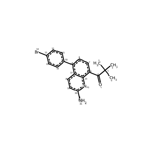 CC(C)(C)C(=O)c1ccc(-c2ccc(Br)cc2)c2ccc(N)nc12